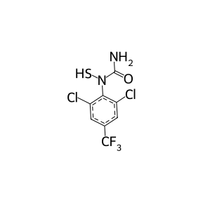 NC(=O)N(S)c1c(Cl)cc(C(F)(F)F)cc1Cl